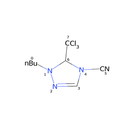 CCCCN1N=CN(C#N)C1C(Cl)(Cl)Cl